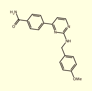 COc1ccc(CNc2nccc(-c3ccc(C(N)=O)cc3)n2)cc1